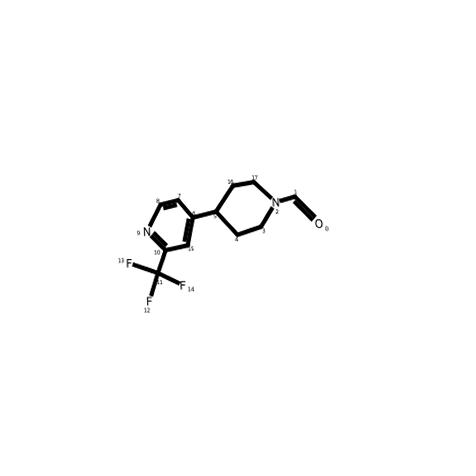 O=CN1CCC(c2ccnc(C(F)(F)F)c2)CC1